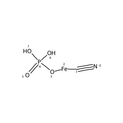 N#[C][Fe][O]P(=O)(O)O